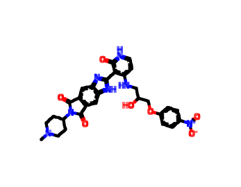 CN1CCC(N2C(=O)c3cc4nc(-c5c(NCC(O)COc6ccc([N+](=O)[O-])cc6)cc[nH]c5=O)[nH]c4cc3C2=O)CC1